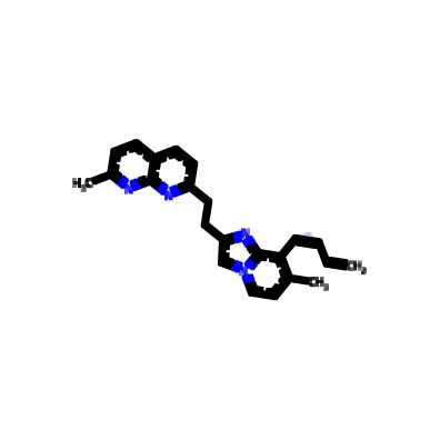 C=C/C=C\c1c(C)ccn2cc(CCc3ccc4ccc(C)nc4n3)nc12